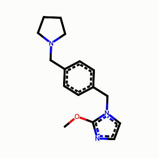 COc1nccn1Cc1ccc(CN2CCCC2)cc1